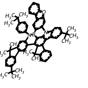 CC(C)(C)c1ccc(N2B3c4cc5c(cc4-n4c6ccc(C(C)(C)C)cc6c6c7c(c(c3c64)-c3cc4c(cc32)C(C)(C)c2ccc(C(C)(C)C)cc2-4)C(C)(C)c2ccccc2-7)oc2ccccc25)cc1